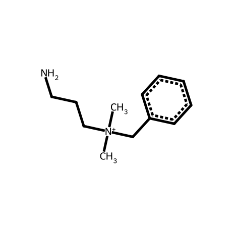 C[N+](C)(CCCN)Cc1ccccc1